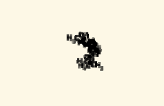 CCC(CO)Cc1cccc(C(F)(F)F)c1CNC(=O)OC(C)(C)C